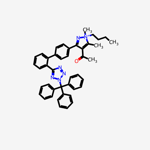 CCCC[N+]1(C)N=C(c2ccc(-c3ccccc3-c3nnn(C(c4ccccc4)(c4ccccc4)c4ccccc4)n3)cc2)C(C(C)=O)=C1C